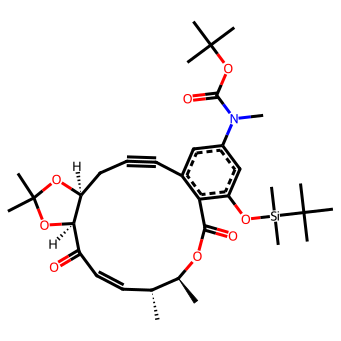 C[C@@H]1/C=C\C(=O)[C@H]2OC(C)(C)O[C@H]2CC#Cc2cc(N(C)C(=O)OC(C)(C)C)cc(O[Si](C)(C)C(C)(C)C)c2C(=O)O[C@H]1C